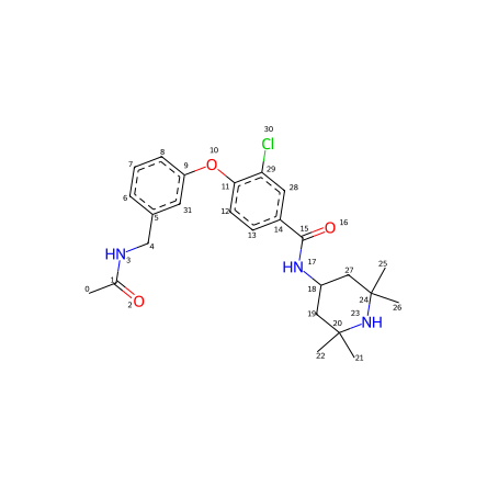 CC(=O)NCc1cccc(Oc2ccc(C(=O)NC3CC(C)(C)NC(C)(C)C3)cc2Cl)c1